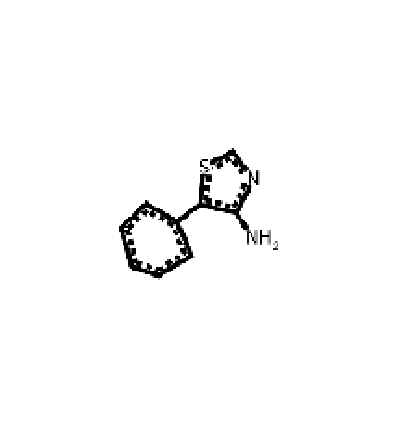 Nc1ncsc1-c1ccccc1